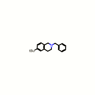 CC(C)(C)c1ccc2c(c1)CCN(Cc1ccccc1)C2